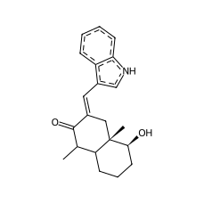 CC1C(=O)/C(=C/c2c[nH]c3ccccc23)C[C@@]2(C)C1CCC[C@@H]2O